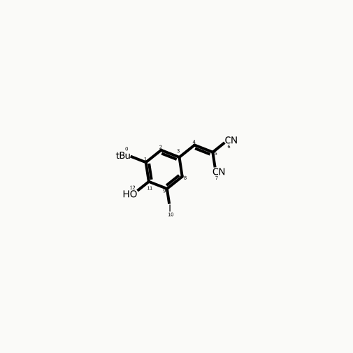 CC(C)(C)c1cc(C=C(C#N)C#N)cc(I)c1O